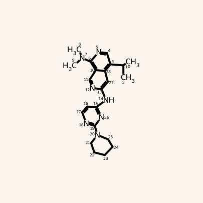 CC(C)c1cnc(N(C)C)c2cnc(Nc3ccnc(N4CCCCC4)n3)cc12